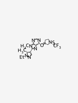 CCn1ncc(-c2nc3c(O[C@H]4CCN(SC(F)(F)F)C4)ncnc3n2C)c1C